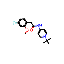 COc1cc(F)ccc1CC(=O)NC1=CCN(C(C)(C)C)C=C1